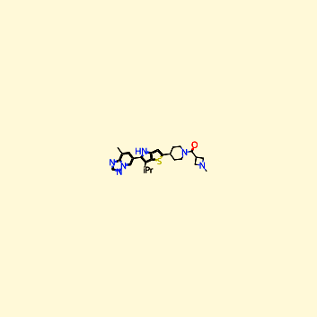 Cc1cc(-c2[nH]c3cc(C4CCN(C(=O)C5CN(C)C5)CC4)sc3c2C(C)C)cn2ncnc12